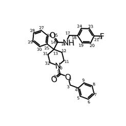 O=C(OCc1ccccc1)N1CCC(C(=O)NCc2ccc(F)cc2)(c2ccccc2)CC1